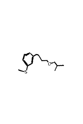 CSc1cccc(CCCOCC(C)C)c1